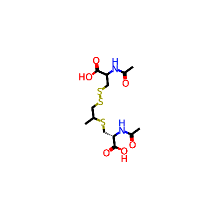 CC(=O)NC(CSSCC(C)SC[C@H](NC(C)=O)C(=O)O)C(=O)O